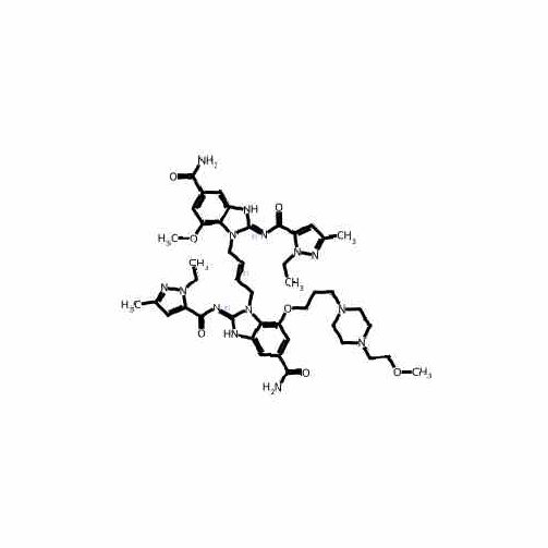 CCn1nc(C)cc1C(=O)/N=c1\[nH]c2cc(C(N)=O)cc(OC)c2n1C/C=C/Cn1/c(=N/C(=O)c2cc(C)nn2CC)[nH]c2cc(C(N)=O)cc(OCCCN3CCN(CCOC)CC3)c21